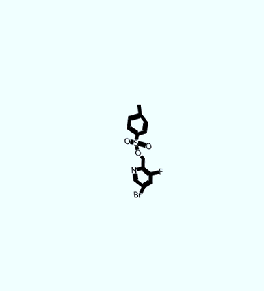 Cc1ccc(S(=O)(=O)OCc2ncc(Br)cc2F)cc1